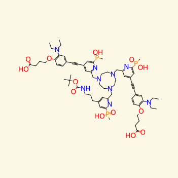 CCN(CC)c1cc(C#Cc2cc(CN3CCN(Cc4cc(C#Cc5ccc(OCCCC(=O)O)c(N(CC)CC)c5)cc(P(C)(=O)O)n4)CCN(Cc4cc(CCCNC(=O)OC(C)(C)C)cc(P(C)(=O)O)n4)CC3)nc(P(C)O)c2)ccc1OCCCC(=O)O